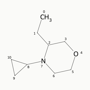 CCC1COCCN1C1CC1